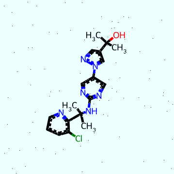 CC(C)(O)c1cnn(-c2cnc(NC(C)(C)c3ncccc3Cl)nc2)c1